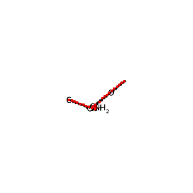 CCCCCCCCCCCCCCCCO[SiH](CC(C)CN)OCCCCCCCCCCCCCCOCCCCCCCCCCCC